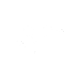 N#Cc1ccc(-c2cccc([N+](=O)[O-])c2OC(F)F)cc1